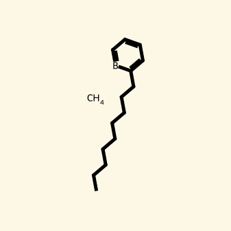 C.CCCCCCCCCc1bcccc1